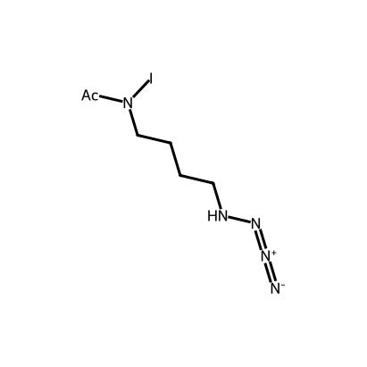 CC(=O)N(I)CCCCNN=[N+]=[N-]